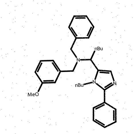 CCCCC(c1cnc(-c2ccccc2)n1CCCC)N(Cc1ccccc1)Cc1cccc(OC)c1